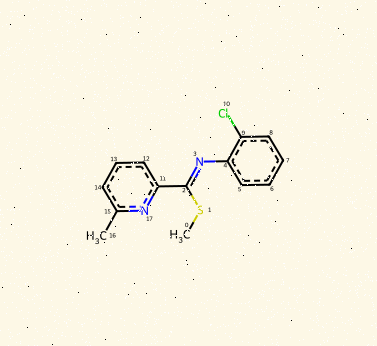 CS/C(=N\c1ccccc1Cl)c1cccc(C)n1